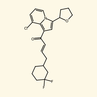 O=C(/C=C/CC1CCCC(F)(F)C1)c1cc(C2CCCO2)n2cccc(Cl)c12